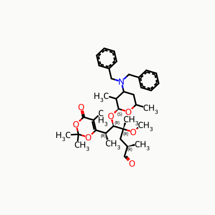 CO[C@](C)(C[C@@H](C)C=O)[C@H](O[C@@H]1OC(C)CC(N(Cc2ccccc2)Cc2ccccc2)C1C)[C@@H](C)C1=C(C)C(=O)OC(C)(C)O1